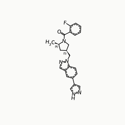 C[C@@H]1C[C@H](Cn2ncc3cc(-c4cn[nH]c4)ccc32)CN1C(=O)c1ccccc1F